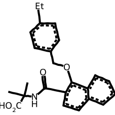 CCc1ccc(COc2c(C(=O)NC(C)(C)C(=O)O)ccc3ccccc23)cc1